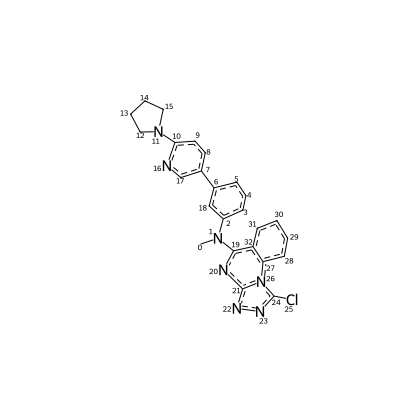 CN(c1cccc(-c2ccc(N3CCCC3)nc2)c1)c1nc2nnc(Cl)n2c2ccccc12